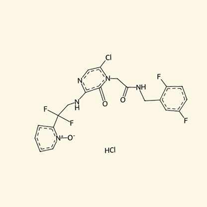 Cl.O=C(Cn1c(Cl)cnc(NCC(F)(F)c2cccc[n+]2[O-])c1=O)NCc1cc(F)ccc1F